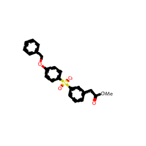 COC(=O)Cc1cccc(S(=O)(=O)c2ccc(OCc3ccccc3)cc2)c1